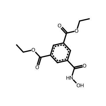 CCOC(=O)c1cc(C(=O)NO)cc(C(=O)OCC)c1